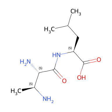 CC(C)C[C@H](NC(=O)[C@@H](N)[C@H](C)N)C(=O)O